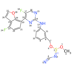 CO/S(=N/C#N)OCc1cccc(Nc2ncc(F)c(-c3ccc(F)c4ccoc34)n2)c1